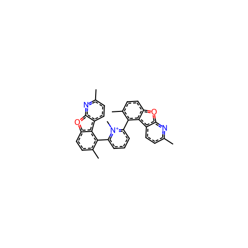 Cc1ccc2c(n1)oc1ccc(C)c(-c3cccc(-c4c(C)ccc5oc6nc(C)ccc6c45)[n+]3C)c12